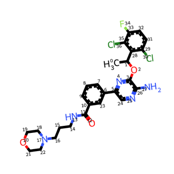 CC(Oc1nc(-c2cccc(C(=O)NCCCN3CCOCC3)c2)cnc1N)c1c(Cl)ccc(F)c1Cl